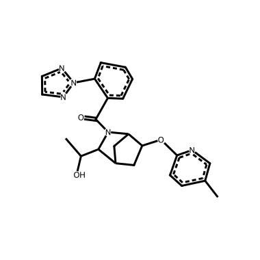 Cc1ccc(OC2CC3CC2N(C(=O)c2ccccc2-n2nccn2)C3C(C)O)nc1